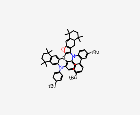 Cc1cc2c3c(c1)N(c1ccc(C(C)(C)C)cc1-c1ccc(C(C)(C)C)cc1)c1c(oc4c1CC1C(=C4)C(C)(C)CCC1(C)C)B3c1cc3c(cc1N2C1=CCC(C(C)(C)C)C=C1)C(C)(C)CCC3(C)C